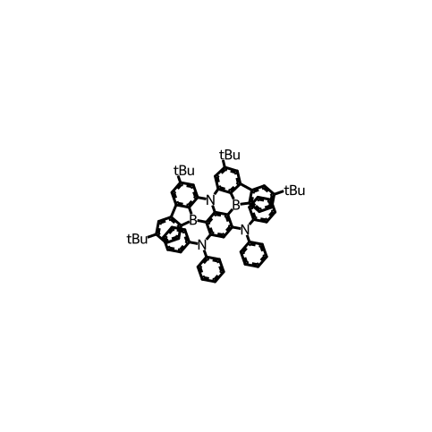 CC(C)(C)c1ccc2c(c1)-c1cc(C(C)(C)C)cc3c1B2c1c(N(c2ccccc2)c2ccccc2)cc(N(c2ccccc2)c2ccccc2)c2c1N3c1cc(C(C)(C)C)cc3c1B2c1ccc(C(C)(C)C)cc1-3